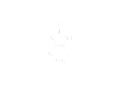 Fc1nc2ncncc2[nH]1